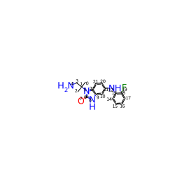 CC(C)(CN)n1c(=O)[nH]c2cc(Nc3ccccc3F)ccc21